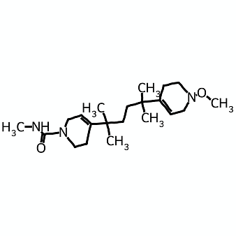 CNC(=O)N1CC=C(C(C)(C)CCC(C)(C)C2=CCN(OC)CC2)CC1